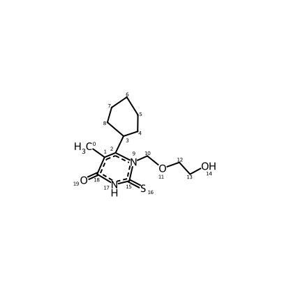 Cc1c(C2CCCCC2)n(COCCO)c(=S)[nH]c1=O